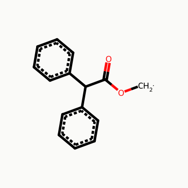 [CH2]OC(=O)C(c1ccccc1)c1ccccc1